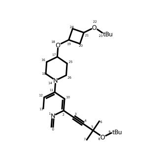 C=N/C(C#CC(C)(C)OC(C)(C)C)=C\C(=C/C)N1CCC(OC2CC(OC(C)(C)C)C2)CC1